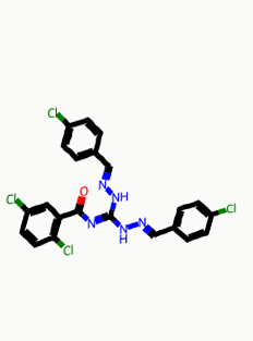 O=C(N=C(NN=Cc1ccc(Cl)cc1)NN=Cc1ccc(Cl)cc1)c1cc(Cl)ccc1Cl